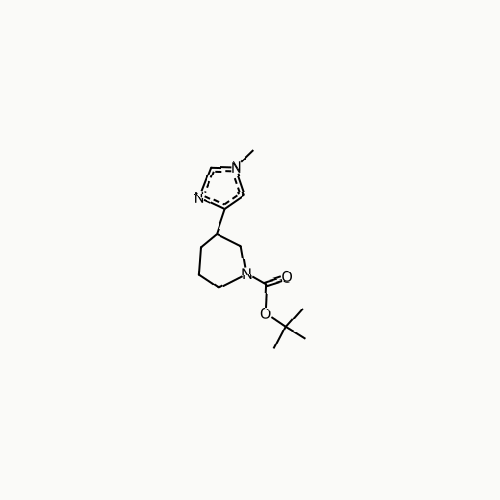 Cn1cnc(C2CCCN(C(=O)OC(C)(C)C)C2)c1